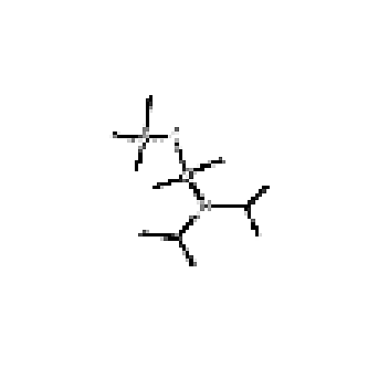 CC(C)N(C(C)C)[Si](C)(C)O[Si](C)(C)C